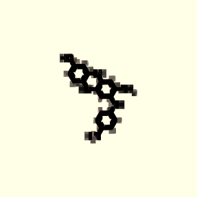 Nc1ccc(Nc2cc3c(cc2N)Nc2cc(O)ccc2N3)cc1